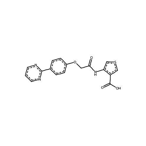 O=C(COc1ccc(-c2ncccn2)cc1)Nc1cscc1C(=O)O